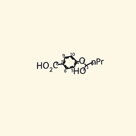 CCCC(O)Oc1ccc(C(=O)O)cc1